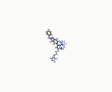 Nc1ncnn2c(CCCCN3CCCC3)cc(-c3ccc4nn(Cc5ccccc5)cc4c3)c12